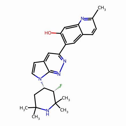 Cc1ccc2cc(-c3cc4ccn([C@H]5CC(C)(C)NC(C)(C)[C@H]5F)c4nn3)c(O)cc2n1